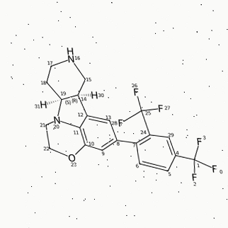 FC(F)(F)c1ccc(-c2cc3c4c(c2)[C@@H]2CNCC[C@@H]2N4CCO3)c(C(F)(F)F)c1